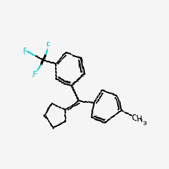 Cc1ccc(C(=C2CCCC2)c2cccc(C(F)(F)F)c2)cc1